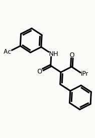 CC(=O)c1cccc(NC(=O)C(=Cc2ccccc2)C(=O)C(C)C)c1